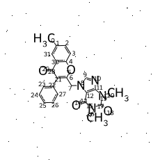 Cc1ccc2oc(Cn3cnc4c3c(=O)n(C)c(=O)n4C)c(-c3ccccc3)c(=O)c2c1